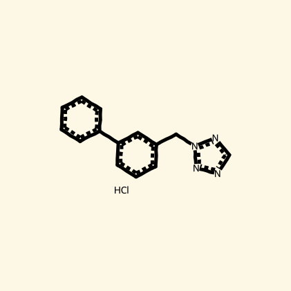 Cl.c1ccc(-c2cccc(Cn3ncnn3)c2)cc1